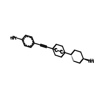 CCCCCC[C@H]1CC[C@H](C23CCC(C#Cc4ccc(CCC)cc4)(CC2)CC3)CC1